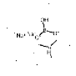 C[SiH](C)C.[Na+].[Na+].[O-]B([O-])O